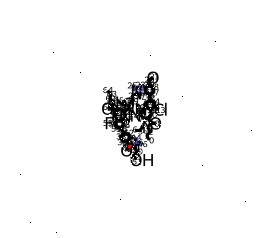 CCCN(CCC)C(=O)C1=Cc2c(Cl)cc(-c3ccc(C=O)c(/C=C(/C)N(C)CCONC4=Nc5cc(-c6ccc(C=O)c(/C=C(/C)N(C)CCO)c6)cc(F)c5C=C(C(=O)N(CCC)CCC)C4)c3)cc2N=C(N)C1